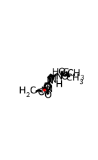 C=CCON1C(=O)N2CC(n3ccc(CNC(=O)OC(C)(C)C)n3)=CC1C2